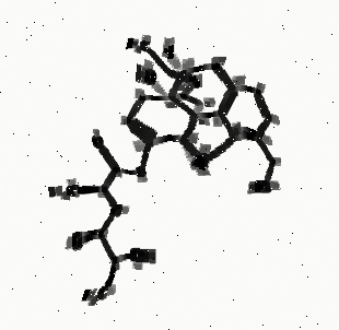 C[C@H](O)C(=O)O[C@@H](C)C(=O)OC1=CC[C@@]2(O)[C@H]3Cc4ccc(CO)c5c4[C@@]2(CCN3C)[C@H]1O5